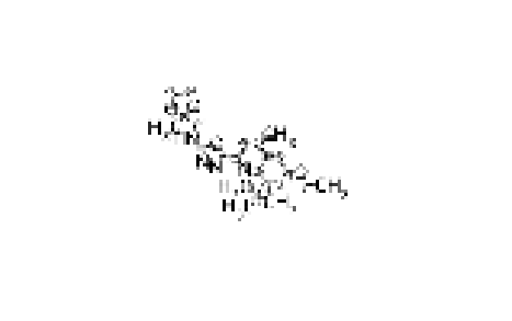 CCOc1cc(C(C)(C)C)c2nc(-c3nnc(NCC4(C)OCCO4)o3)cc(C)c2c1